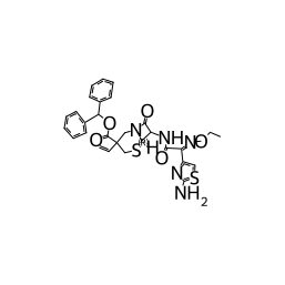 C=CC1(C(=O)OC(c2ccccc2)c2ccccc2)CS[C@@H]2C(NC(=O)C(=NOCC)c3csc(N)n3)C(=O)N2C1